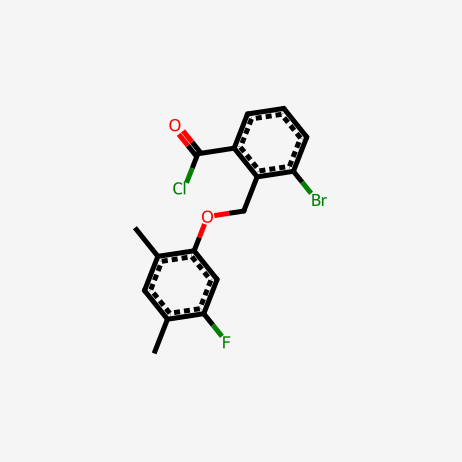 Cc1cc(C)c(OCc2c(Br)cccc2C(=O)Cl)cc1F